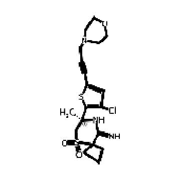 C[C@@]1(c2sc(C#CCN3CCOCC3)cc2Cl)CS(=O)(=O)C2(CCC2)C(=N)N1